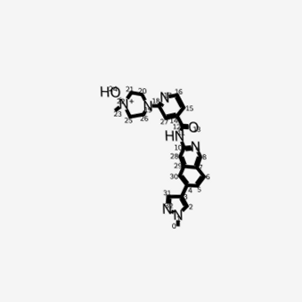 Cn1cc(-c2ccc3cnc(NC(=O)c4ccnc(N5CC[N+](C)(O)CC5)c4)cc3c2)cn1